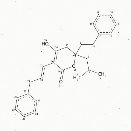 CC(C)CC1(CCc2ccccc2)CC(O)=C(C=CCc2ccccc2)C(=O)O1